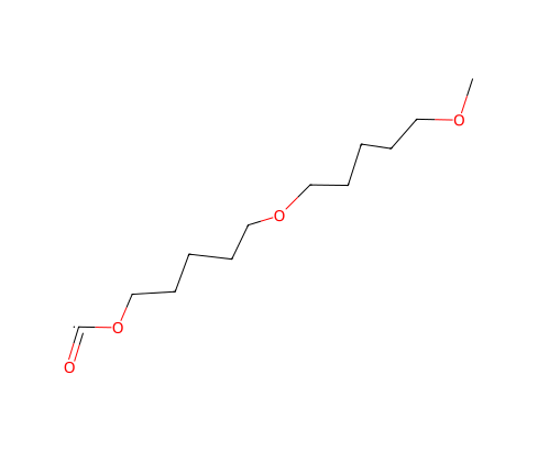 COCCCCCOCCCCCO[C]=O